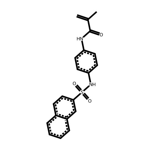 C=C(C)C(=O)Nc1ccc(NS(=O)(=O)c2ccc3ccccc3c2)cc1